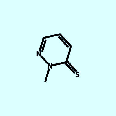 Cn1ncccc1=S